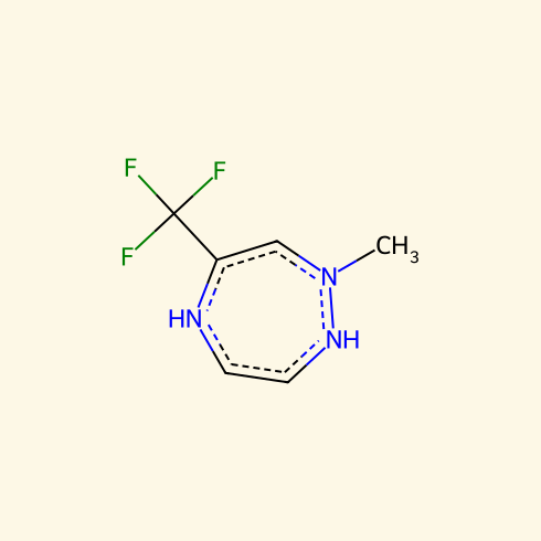 Cn1cc(C(F)(F)F)[nH]cc[nH]1